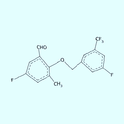 Cc1cc(F)cc(C=O)c1OCc1cc(F)cc(C(F)(F)F)c1